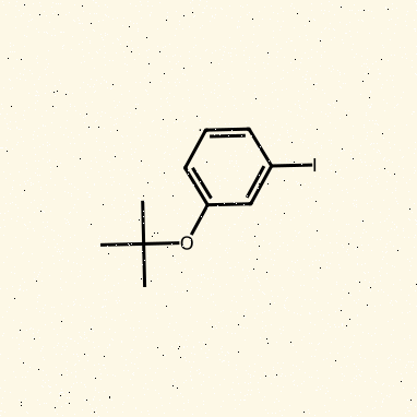 CC(C)(C)Oc1c[c]cc(I)c1